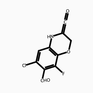 O=C=C1COc2c(cc(Cl)c(C=O)c2F)N1